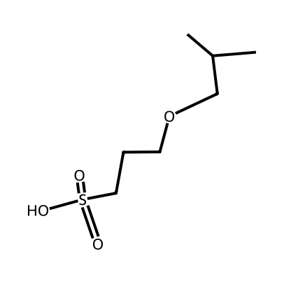 CC(C)COCCCS(=O)(=O)O